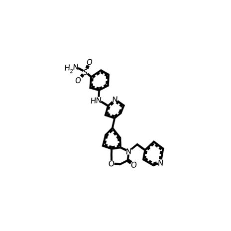 NS(=O)(=O)c1cccc(Nc2cc(-c3ccc4c(c3)N(Cc3ccncc3)C(=O)CO4)ccn2)c1